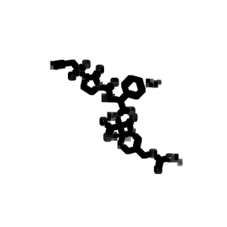 CC(=O)OCC1=CN2C(=O)C(NC(=O)C(NC(=O)N3CCN(S(=O)(=O)CC#N)C3=O)c3ccccc3)(C(=O)[O-])[C@@H]2SC1.[Na+]